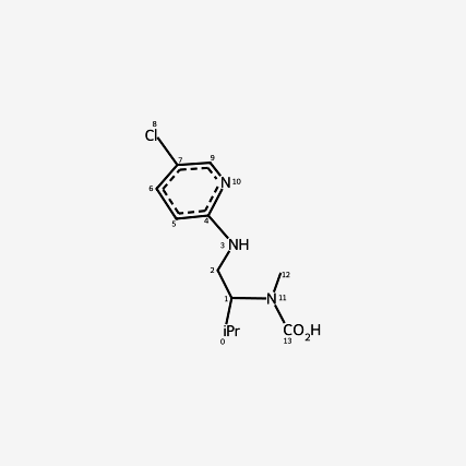 CC(C)C(CNc1ccc(Cl)cn1)N(C)C(=O)O